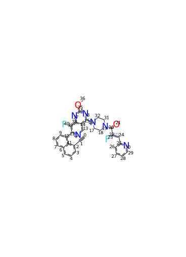 C#Cc1cccc2cccc(-c3ncc4c(N5CCN(C(=O)/C(F)=C/c6ccccn6)CC5)nc(OC)nc4c3F)c12